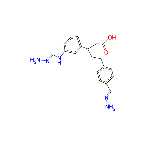 NN=CNc1cccc(C(CCc2ccc(C=NN)cc2)CC(=O)O)c1